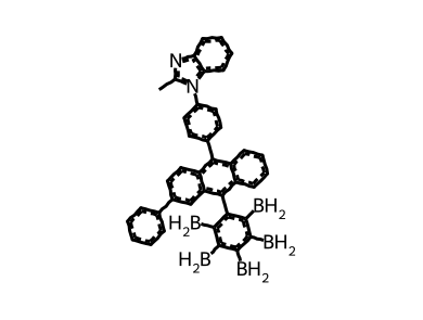 Bc1c(B)c(B)c(-c2c3ccccc3c(-c3ccc(-n4c(C)nc5ccccc54)cc3)c3ccc(-c4ccccc4)cc23)c(B)c1B